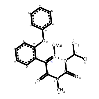 CO/N=C(/C(=O)N(C)C(=O)OC(C)Cl)c1ccccc1Oc1ccccc1